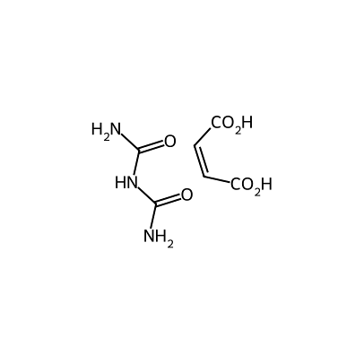 NC(=O)NC(N)=O.O=C(O)/C=C\C(=O)O